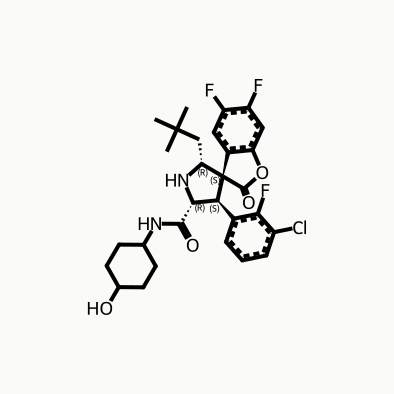 CC(C)(C)C[C@H]1N[C@@H](C(=O)NC2CCC(O)CC2)[C@H](c2cccc(Cl)c2F)[C@@]12C(=O)Oc1cc(F)c(F)cc12